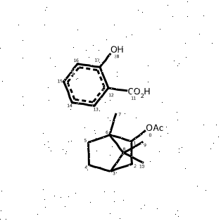 CC(=O)OC1CC2CCC1(C)C2(C)C.O=C(O)c1ccccc1O